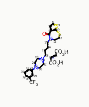 O=C(O)/C=C/C(=O)O.O=C1c2ccsc2SCCN1CCCCN1CCN(c2cccc(C(F)(F)F)c2)CC1